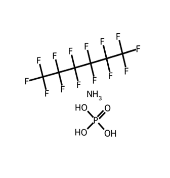 FC(F)(F)C(F)(F)C(F)(F)C(F)(F)C(F)(F)C(F)(F)F.N.O=P(O)(O)O